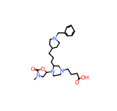 CN1CC(N2CCN(CCCC(=O)O)CC2CCCC2CCN(Cc3ccccc3)CC2)OC1=O